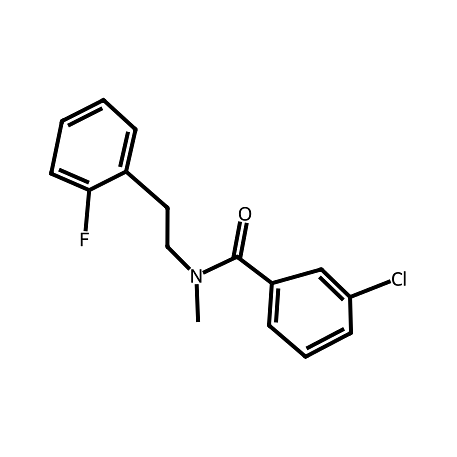 CN(CCc1ccccc1F)C(=O)c1cccc(Cl)c1